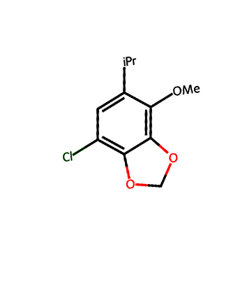 COc1c(C(C)C)cc(Cl)c2c1OCO2